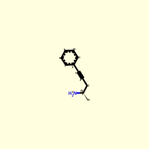 C[C@H](N)CC#Cc1ccccc1